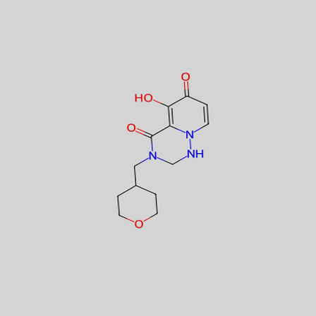 O=C1c2c(O)c(=O)ccn2NCN1CC1CCOCC1